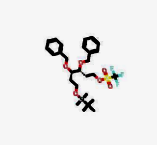 CC(C)(C)[Si](C)(C)OCC[C@@H](OCc1ccccc1)[C@@H](CCOS(=O)(=O)C(F)(F)F)OCc1ccccc1